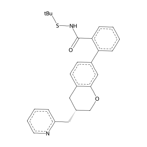 CC(C)(C)SNC(=O)c1ccccc1-c1ccc2c(c1)OC[C@H](Cc1ccccn1)C2